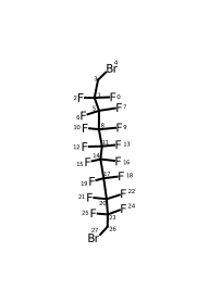 FC(F)(CBr)C(F)(F)C(F)(F)C(F)(F)C(F)(F)C(F)(F)C(F)(F)C(F)(F)CBr